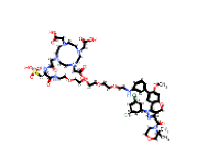 COc1cc2c(cc1-c1cccc(NCCOCCOCCOCCOCCNC(=O)[C@H](CS(=O)(=O)O)NC(=O)CN3CCN(CC(=O)O)CCN(CC(=O)O)CCN(CC(=O)O)CC3)c1)-c1c(c(C(=O)N3CCOCC3(C)C)nn1-c1cc(Cl)cc(Cl)c1)CO2